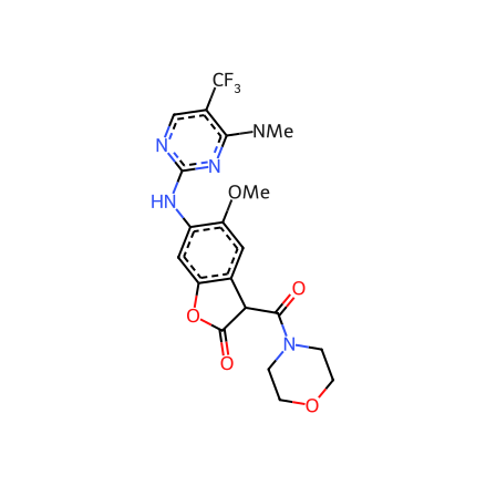 CNc1nc(Nc2cc3c(cc2OC)C(C(=O)N2CCOCC2)C(=O)O3)ncc1C(F)(F)F